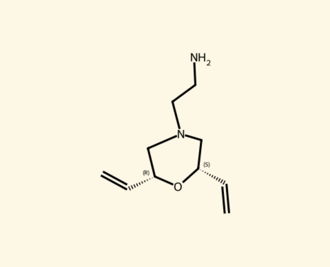 C=C[C@@H]1CN(CCN)C[C@H](C=C)O1